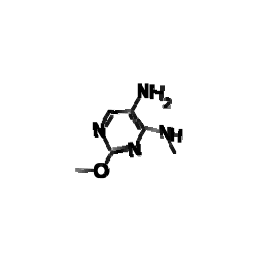 CNc1nc(OC)ncc1N